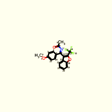 COc1ccc(C(=NC(C)=O)c2c(C(F)(F)F)oc3ccccc23)cc1